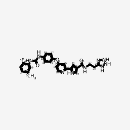 Cc1ccc(F)c(NC(=O)Nc2ccc(Oc3ccnc(-c4cc(C(=O)NCCC5=NNNN5)c[nH]4)c3)cc2)c1